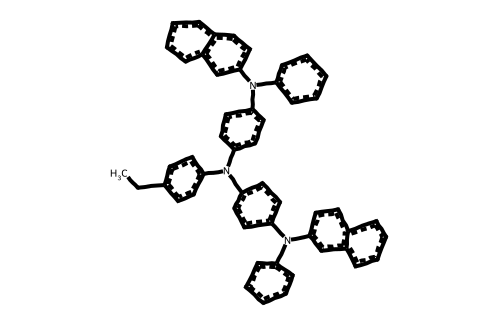 CCc1ccc(N(c2ccc(N(c3ccccc3)c3ccc4ccccc4c3)cc2)c2ccc(N(c3ccccc3)c3ccc4ccccc4c3)cc2)cc1